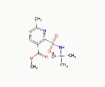 COC(=O)c1ccc(C)nc1S(=O)(=O)NC(C)(C)C